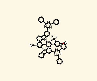 N#Cc1ccc(-c2ccc(-c3ccc(C#N)cc3C(F)(F)F)cc2-n2c3ccccc3c3cc(-c4nc(-c5ccccc5)nc(-c5ccccc5)n4)ccc32)c(-n2c3ccccc3c3cc(-c4nc(-c5ccccc5)nc(-c5ccccc5)n4)ccc32)c1